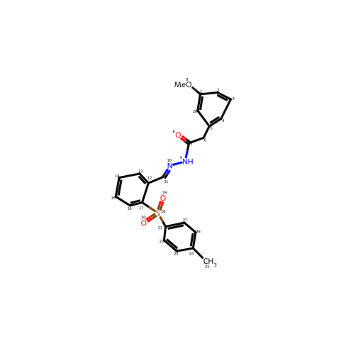 COc1cccc(CC(=O)N/N=C/c2ccccc2S(=O)(=O)c2ccc(C)cc2)c1